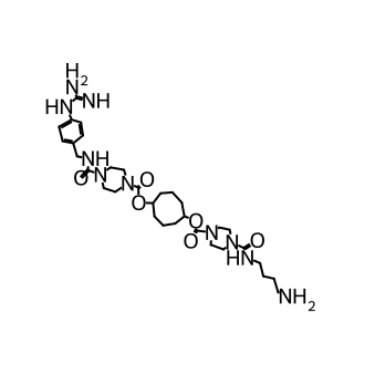 N=C(N)Nc1ccc(CNC(=O)N2CCN(C(=O)OC3CCCC(OC(=O)N4CCN(C(=O)NCCCCN)CC4)CCC3)CC2)cc1